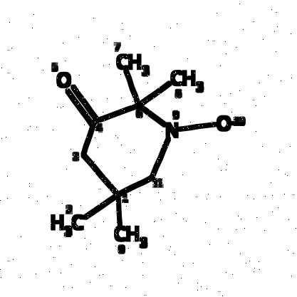 CC1(C)CC(=O)C(C)(C)N([O])C1